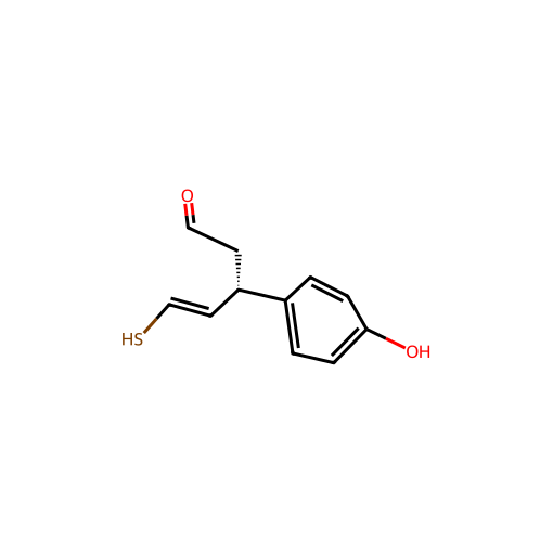 O=CC[C@@H](/C=C/S)c1ccc(O)cc1